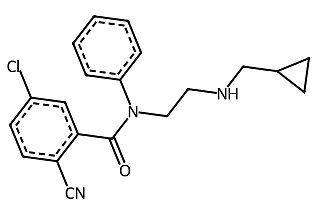 N#Cc1ccc(Cl)cc1C(=O)N(CCNCC1CC1)c1ccccc1